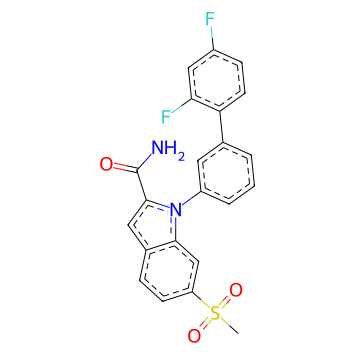 CS(=O)(=O)c1ccc2cc(C(N)=O)n(-c3cccc(-c4ccc(F)cc4F)c3)c2c1